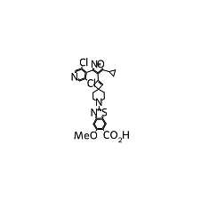 COc1cc2nc(N3CCC4(C=C(c5c(-c6c(Cl)cncc6Cl)noc5C5CC5)C4)CC3)sc2cc1C(=O)O